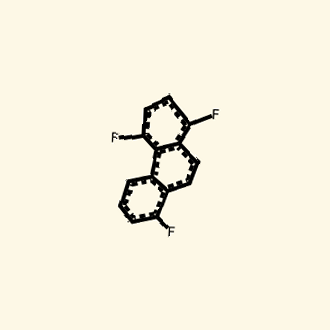 Fc1[c]ccc2c1ccc1c(F)[c]cc(F)c12